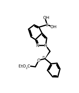 CCOC(=O)CO[C@@H](Cn1cc2c(B(O)O)cccc2n1)c1ccccc1